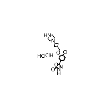 Cl.Cl.O=c1[nH]nc(-c2ccc(Cl)c(OCC3CC(N4CCNCC4)C3)c2)o1